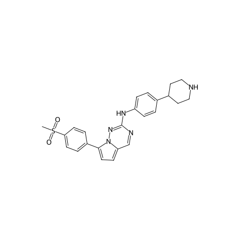 CS(=O)(=O)c1ccc(-c2ccc3cnc(Nc4ccc(C5CCNCC5)cc4)nn23)cc1